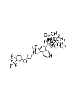 CC(=O)NCC(O[Si](C)(C)C(C)(C)C)c1cc(F)c(CN[C@H]2C[C@H](Oc3ccc(F)c(C(F)(F)F)c3)C2)c2ccncc12